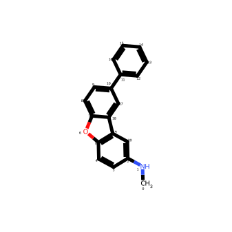 CNc1ccc2oc3ccc(-c4ccccc4)cc3c2c1